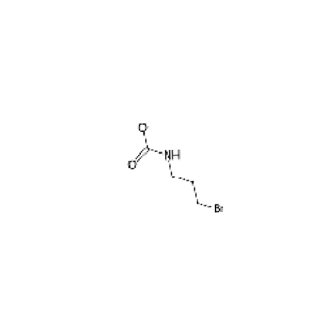 [O]C(=O)NCCCBr